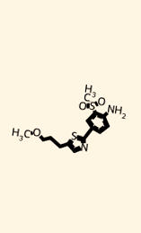 COCCCc1cnc(-c2ccc(N)c(S(C)(=O)=O)c2)s1